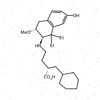 CCC1(CC)c2cc(O)ccc2C[C@@H](OC)[C@@H]1NCC[C@H](CC1CCCCC1)C(=O)O